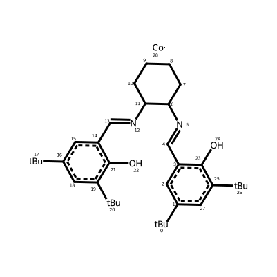 CC(C)(C)c1cc(C=NC2CCCCC2N=Cc2cc(C(C)(C)C)cc(C(C)(C)C)c2O)c(O)c(C(C)(C)C)c1.[Co]